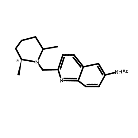 CC(=O)Nc1ccc2nc(CN3C(C)CCC[C@@H]3C)ccc2c1